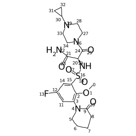 COc1c(N2CCCCC2=O)cc(F)cc1S(=O)(=O)N[C@@H](C(N)=O)C(=O)N1CCN(C2CC2)CC1